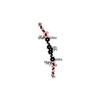 CCCC1(CCC)c2cc(/C=C/c3cc(OC)c(OC(C)C(=O)OCCOCCOCC)c(OC)c3)ccc2-c2ccc(/C=C/c3cc(OC)c(OC(C)C(=O)OCCOCCOCC)c(OC)c3)cc21